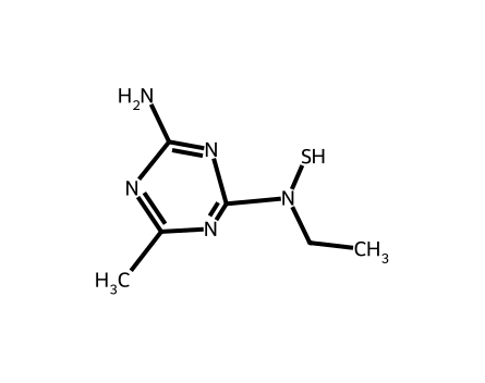 CCN(S)c1nc(C)nc(N)n1